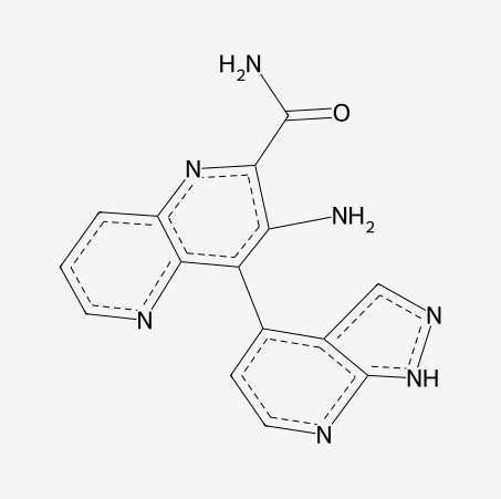 NC(=O)c1nc2cccnc2c(-c2ccnc3[nH]ncc23)c1N